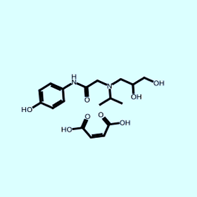 CC(C)N(CC(=O)Nc1ccc(O)cc1)CC(O)CO.O=C(O)/C=C\C(=O)O